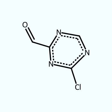 O=Cc1ncnc(Cl)n1